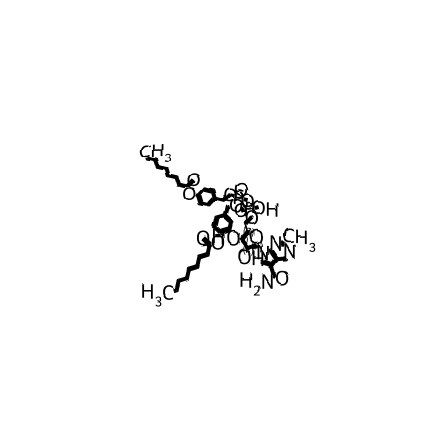 CCCCCCCCC(=O)Oc1ccc(COP(=O)(OCc2ccc(OC(=O)CCCCCCCC)cc2)OP(=O)(O)OC[C@H]2O[C@@H](n3cc(C(N)=O)c4cnc(C)nc43)[C@H](O)[C@@H]2O)cc1